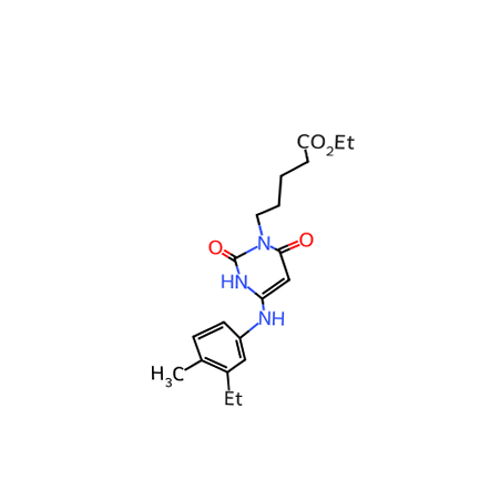 CCOC(=O)CCCCn1c(=O)cc(Nc2ccc(C)c(CC)c2)[nH]c1=O